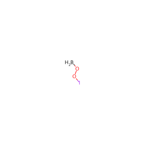 BOOI